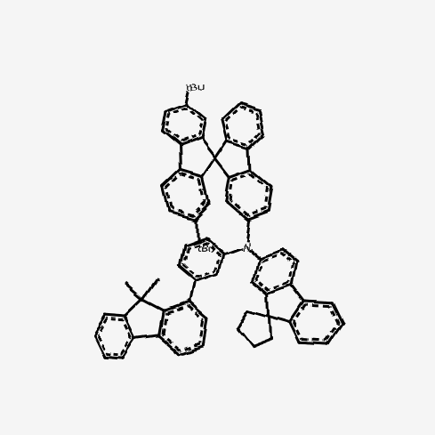 CC(C)(C)c1ccc2c(c1)C1(c3ccccc3-c3ccc(N(c4cccc(-c5cccc6c5C(C)(C)c5ccccc5-6)c4)c4ccc5c(c4)C4(CCCC4)c4ccccc4-5)cc31)c1cc(C(C)(C)C)ccc1-2